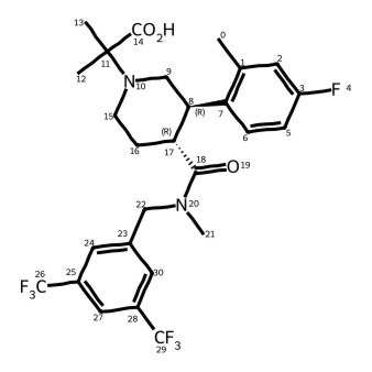 Cc1cc(F)ccc1[C@@H]1CN(C(C)(C)C(=O)O)CC[C@H]1C(=O)N(C)Cc1cc(C(F)(F)F)cc(C(F)(F)F)c1